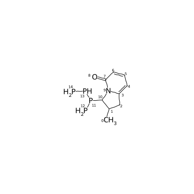 CC1Cc2cccc(=O)n2C1P(P)PP